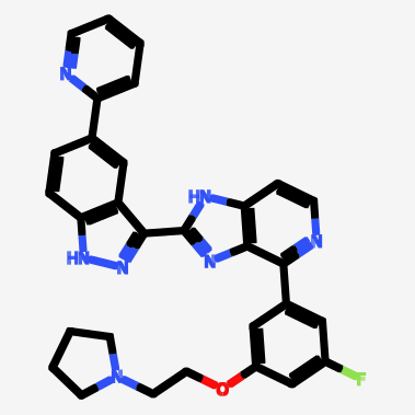 Fc1cc(OCCN2CCCC2)cc(-c2nccc3[nH]c(-c4n[nH]c5ccc(-c6ccccn6)cc45)nc23)c1